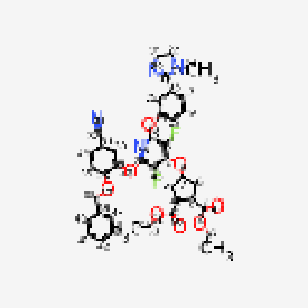 CCOC(=O)C1CC(Oc2c(F)c(Oc3cccc(C4=NCCN4C)c3)nc(Oc3cc(C#N)ccc3OCc3ccccc3)c2F)CC1C(=O)OCC